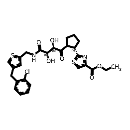 CCOC(=O)c1csc([C@H]2CCCC2C(=O)[C@H](O)[C@@H](O)C(=O)NCc2cc(Cc3ccccc3Cl)cs2)n1